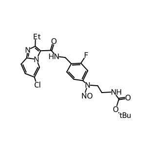 CCc1nc2ccc(Cl)cn2c1C(=O)NCc1ccc(N(CCNC(=O)OC(C)(C)C)N=O)cc1F